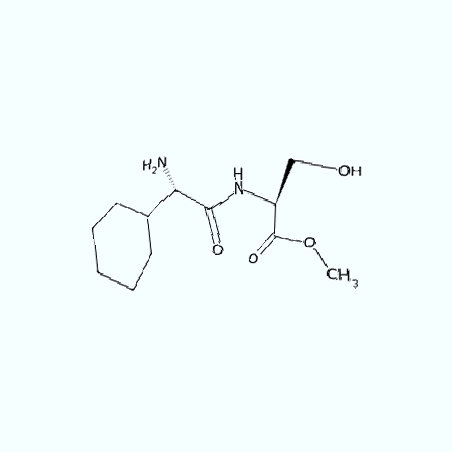 COC(=O)[C@H](CO)NC(=O)[C@@H](N)C1CCCCC1